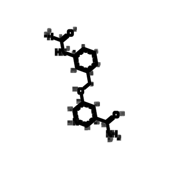 [2H]C(=O)Nc1cccc(COc2cncc(C(N)=O)c2)c1